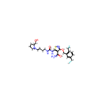 NC(=O)c1c(OCc2cc(CF)ccc2CF)nsc1NC(=O)NCCCCN1CCCC1CO